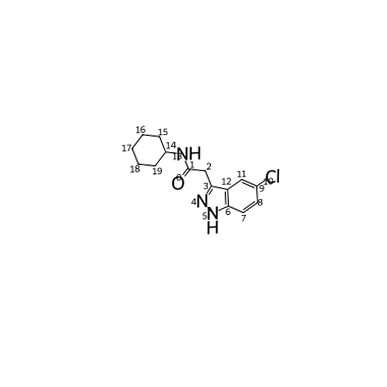 O=C(Cc1n[nH]c2ccc(Cl)cc12)NC1CCCCC1